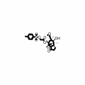 Cc1ccc(S(=O)(=O)OCC(=O)O[C@@H]2C[C@@](C)([C@@H]3CO3)[C@@H](O)[C@H](C)[C@]34CCC(=O)[C@H]3[C@@]2(C)[C@H](C)CC4)cc1